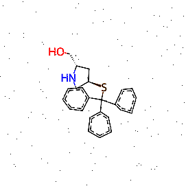 OC[C@@H]1C[C@@H](SC(c2ccccc2)(c2ccccc2)c2ccccc2)CN1